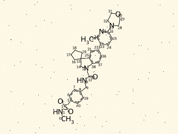 CNS(=O)(=O)c1ccc(CNC(=O)N2CC3(CCCC3)c3cc(-c4ccc(N5CCOCC5)nc4C)ccc32)cc1